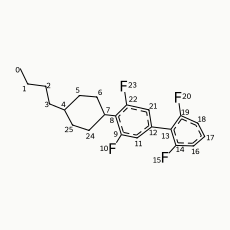 CCCCC1CCC(c2c(F)cc(-c3c(F)cccc3F)cc2F)CC1